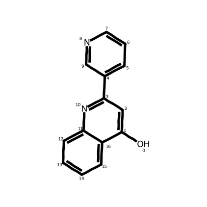 Oc1cc(-c2cccnc2)nc2ccccc12